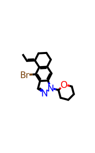 C/C=C1\CCCc2cc3c(cnn3C3CCCCO3)c(Br)c21